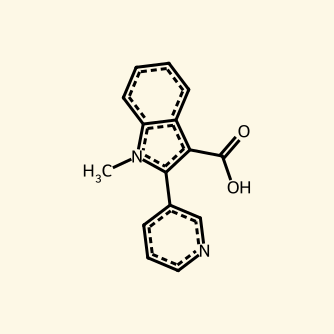 Cn1c(-c2cccnc2)c(C(=O)O)c2ccccc21